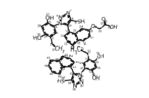 CCc1cc(-n2nnc(S)c2-c2cccc3ccc(OCC(=O)O)cc23)c(O)cc1O.CCc1cc(-n2nnc(S)c2-c2cccc3ccccc23)c(O)cc1O